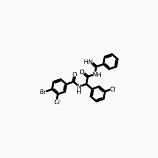 N=C(NC(=O)C(NC(=O)c1ccc(Br)c(Cl)c1)c1cccc(Cl)c1)c1ccccc1